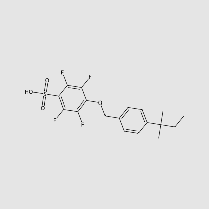 CCC(C)(C)c1ccc(COc2c(F)c(F)c(S(=O)(=O)O)c(F)c2F)cc1